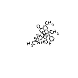 Cc1cc([C@@H](C)Nc2cccc(F)c2C(=O)O)c2oc(-c3ccc4nc(C)sc4n3)cc(=O)c2c1